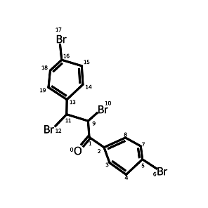 O=C(c1ccc(Br)cc1)C(Br)C(Br)c1ccc(Br)cc1